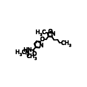 CCCCc1noc(C)c1COc1ccc(C(=O)NN(C)C)cn1